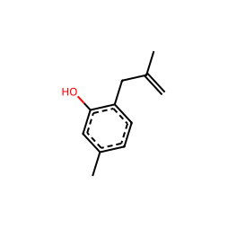 C=C(C)Cc1ccc(C)cc1O